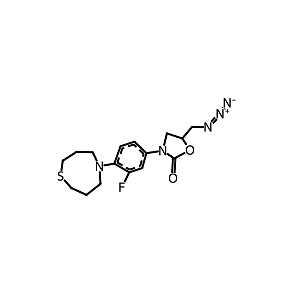 [N-]=[N+]=NCC1CN(c2ccc(N3CCCSCCC3)c(F)c2)C(=O)O1